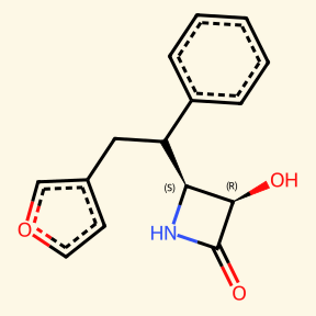 O=C1N[C@@H](C(Cc2ccoc2)c2ccccc2)[C@H]1O